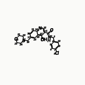 O=C(NCc1ccc(Cl)cc1)c1cnc2ccc(CN3CCOCC3)cc2c1O